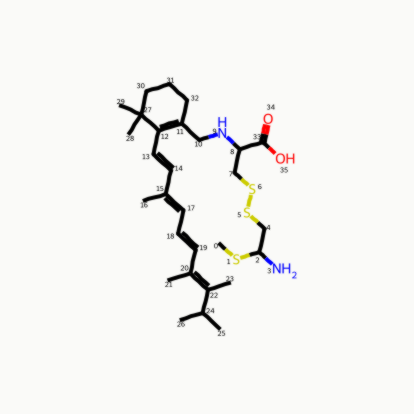 CSC(N)CSSCC(NCC1=C(/C=C/C(C)=C/C=C/C(C)=C(\C)C(C)C)C(C)(C)CCC1)C(=O)O